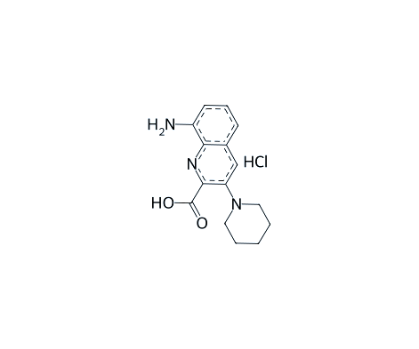 Cl.Nc1cccc2cc(N3CCCCC3)c(C(=O)O)nc12